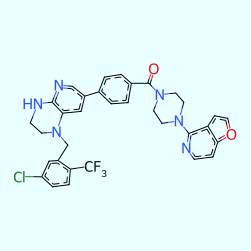 O=C(c1ccc(-c2cnc3c(c2)N(Cc2cc(Cl)ccc2C(F)(F)F)CCN3)cc1)N1CCN(c2nccc3occc23)CC1